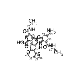 CCCNC(=O)c1ccc(-c2cc3c(cc2C(=O)Nc2c(C)cc(CN)cc2C(=O)NCCC)-c2sccc2CCO3)c(C(=O)O)n1